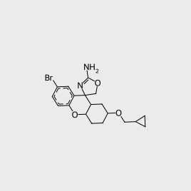 NC1=NC2(CO1)c1cc(Br)ccc1OC1CCC(OCC3CC3)CC12